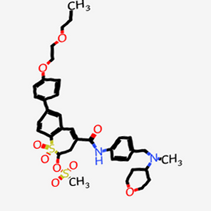 CCCOCCOc1ccc(-c2ccc3c(c2)C=C(C(=O)Nc2ccc(CN(C)C4CCOCC4)cc2)CC(OS(C)(=O)=O)S3(=O)=O)cc1